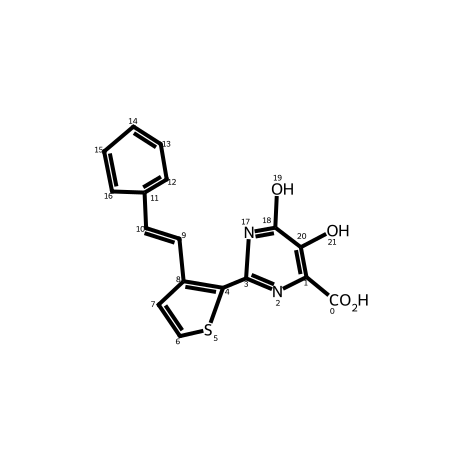 O=C(O)c1nc(-c2sccc2C=Cc2ccccc2)nc(O)c1O